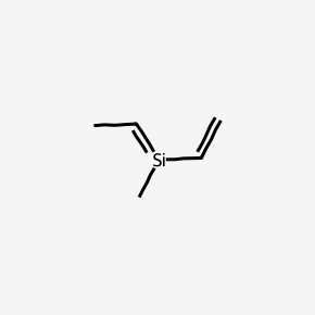 C=C[Si](C)=CC